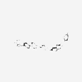 O=C1CCC(Nc2ccc(N3CCN(CCN4CCC(COc5cc(F)c6c(=O)[nH]c(CSC7CCC(O)CC7)nc6c5)CC4)CC3)cc2)C(=O)N1